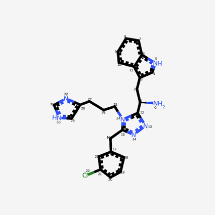 N[C@H](Cc1c[nH]c2ccccc12)c1nnc(Cc2cccc(Cl)c2)n1CCCc1c[nH]cn1